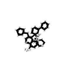 O=S(=O)(N1CCOCC1)C1(c2c(Cc3ccccc3)cnc3c(C(F)(F)F)cccc23)C=CC=C(c2ccccc2)C1